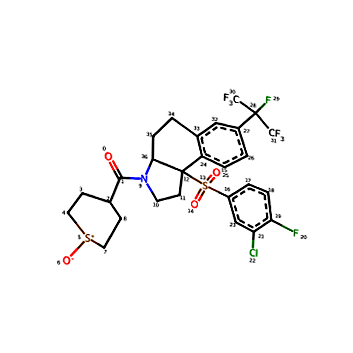 O=C(C1CC[S+]([O-])CC1)N1CCC2(S(=O)(=O)c3ccc(F)c(Cl)c3)c3ccc(C(F)(C(F)(F)F)C(F)(F)F)cc3CCC12